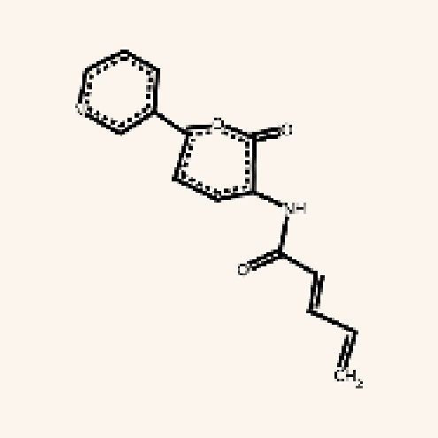 C=C/C=C/C(=O)Nc1ccc(-c2cccnc2)oc1=O